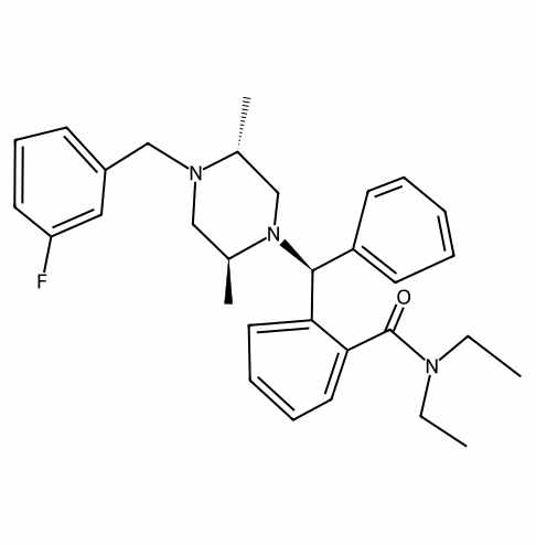 CCN(CC)C(=O)c1ccccc1[C@H](c1ccccc1)N1C[C@@H](C)N(Cc2cccc(F)c2)C[C@@H]1C